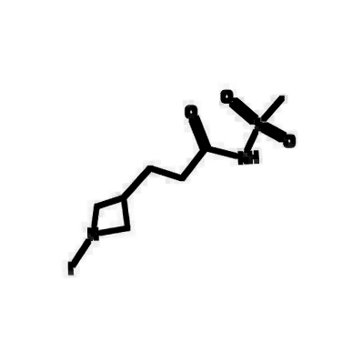 CS(=O)(=O)NC(=O)CCC1CN(I)C1